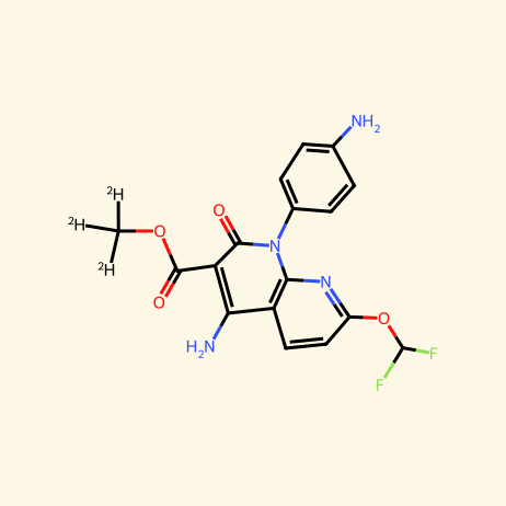 [2H]C([2H])([2H])OC(=O)c1c(N)c2ccc(OC(F)F)nc2n(-c2ccc(N)cc2)c1=O